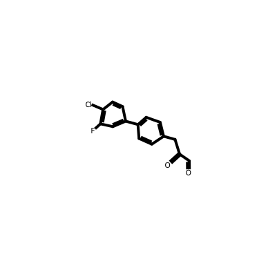 O=CC(=O)Cc1ccc(-c2ccc(Cl)c(F)c2)cc1